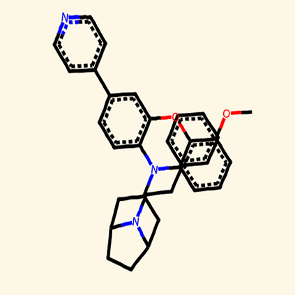 COc1cccc2c1Oc1cc(-c3ccncc3)ccc1N2C1CC2CCC(C1)N2CCc1ccccc1